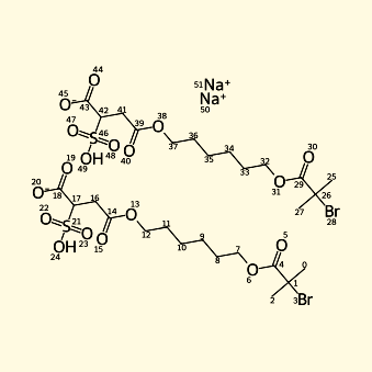 CC(C)(Br)C(=O)OCCCCCCOC(=O)CC(C(=O)[O-])S(=O)(=O)O.CC(C)(Br)C(=O)OCCCCCCOC(=O)CC(C(=O)[O-])S(=O)(=O)O.[Na+].[Na+]